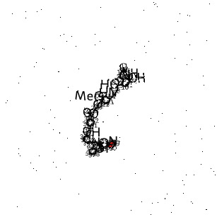 COc1cc(CNC[C@@H](O)c2ccc(O)c3[nH]c(=O)ccc23)ccc1OCCOC(=O)c1ccc(COc2cccc(C(NC(=O)O[C@H]3CN4CCC3CC4)c3ccccc3)c2)cc1